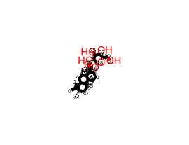 C=C1C[C@@]23CC[C@H]4[C@@](C)(CCC[C@@]4(C)C(=O)OC4OC(CO)C(O)C(O)C4O)[C@@H]2CC[C@]1(C)C3